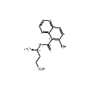 CCCCc1ccc2ccccc2c1C(=O)N[C@@H](CCS(=O)(=O)O)C(=O)O